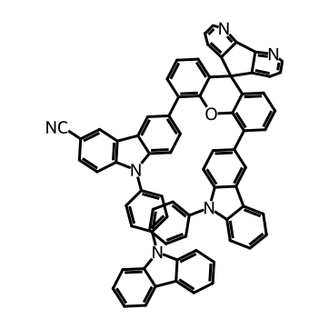 N#Cc1ccc2c(c1)c1cc(-c3cccc4c3Oc3c(-c5ccc6c(c5)c5ccccc5n6-c5ccccc5)cccc3C43c4cccnc4-c4ncccc43)ccc1n2-c1ccc(-n2c3ccccc3c3ccccc32)cc1